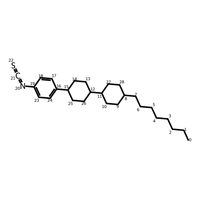 CCCCCCCCC1CCC(C2CCC(c3ccc(N=C=S)cc3)CC2)CC1